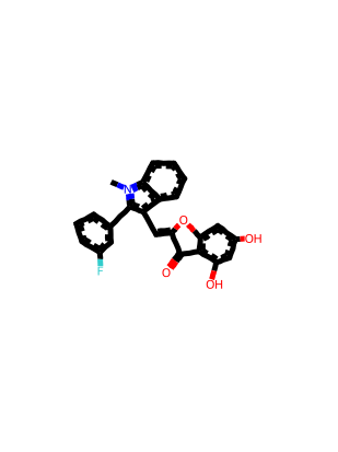 Cn1c(-c2cccc(F)c2)c(/C=C2\Oc3cc(O)cc(O)c3C2=O)c2ccccc21